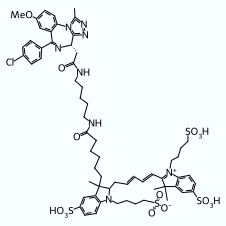 COc1ccc2c(c1)C(c1ccc(Cl)cc1)=N[C@@H](CC(=O)NCCCCCNC(=O)CCCCCC1(C)c3cc(S(=O)(=O)O)ccc3N(CCCCS(=O)(=O)[O-])C1C/C=C/C=C/C1=[N+](CCCCS(=O)(=O)O)c3ccc(S(=O)(=O)O)cc3C1(C)C)c1nnc(C)n1-2